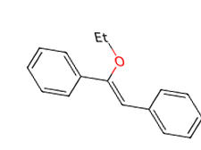 CCOC(=Cc1ccccc1)c1ccccc1